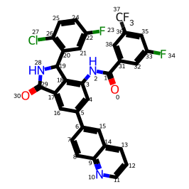 O=C(Nc1cc(-c2ccc3ncccc3c2)cc2c1C(c1cc(F)ccc1Cl)NC2=O)c1cc(F)cc(C(F)(F)F)c1